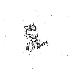 CN(C)CC1CCN(c2cc(N)c([N+](C)=O)cc2Cl)C1